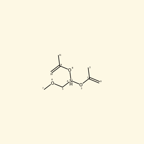 C=C(C)O[SiH](COC)OC(=C)C